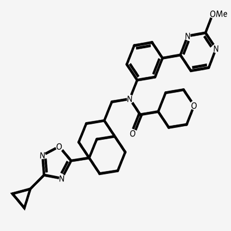 COc1nccc(-c2cccc(N(CC3CCC4(c5nc(C6CC6)no5)CCCC3C4)C(=O)C3CCOCC3)c2)n1